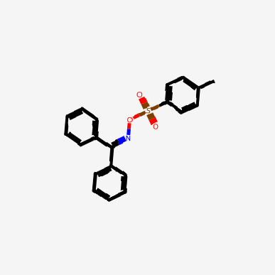 Cc1ccc(S(=O)(=O)ON=C(c2ccccc2)c2ccccc2)cc1